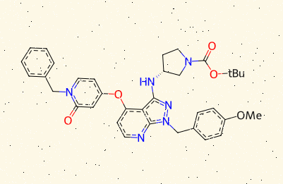 COc1ccc(Cn2nc(N[C@@H]3CCN(C(=O)OC(C)(C)C)C3)c3c(Oc4ccn(Cc5ccccc5)c(=O)c4)ccnc32)cc1